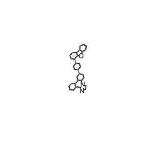 c1ccc2c(c1)oc1c(-c3ccc(-c4ccc5c(c4)c4ccccc4c4nccn54)cc3)cccc12